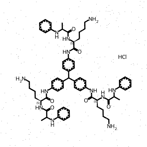 CC(Nc1ccccc1)C(=O)N[C@@H](CCCCN)C(=O)Nc1ccc(C(c2ccc(NC(=O)[C@H](CCCCN)NC(=O)C(C)Nc3ccccc3)cc2)c2ccc(NC(=O)[C@H](CCCCN)NC(=O)C(C)Nc3ccccc3)cc2)cc1.Cl